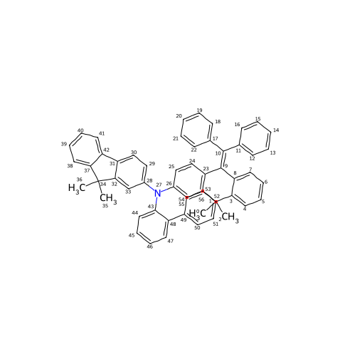 CC1(C)c2ccccc2C(=C(c2ccccc2)c2ccccc2)c2ccc(N(c3ccc4c(c3)C(C)(C)c3ccccc3-4)c3ccccc3-c3ccccc3)cc21